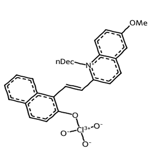 CCCCCCCCCC[n+]1c(C=Cc2c(O[Cl+3]([O-])([O-])[O-])ccc3ccccc23)ccc2cc(OC)ccc21